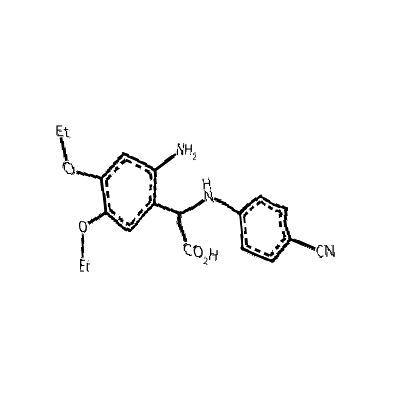 CCOc1cc(N)c(C(Nc2ccc(C#N)cc2)C(=O)O)cc1OCC